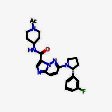 CC(=O)N1CCC(NC(=O)c2cnc3ccc(N4CCC[C@@H]4c4cccc(F)c4)nn23)CC1